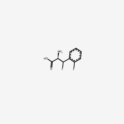 N[C@H](C(=O)O)C(F)c1ccccc1F